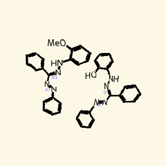 COc1ccccc1N/N=C(/N=N/c1ccccc1)c1ccccc1.Oc1ccccc1N/N=C(/N=N/c1ccccc1)c1ccccc1